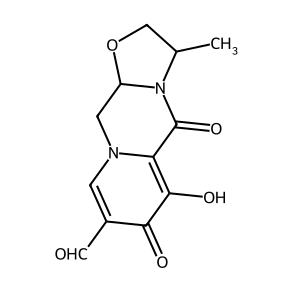 CC1COC2Cn3cc(C=O)c(=O)c(O)c3C(=O)N12